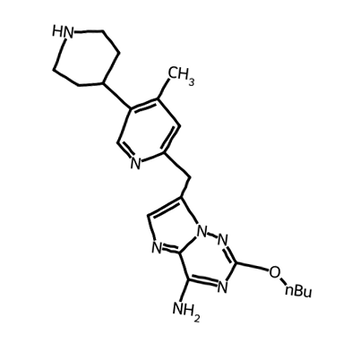 CCCCOc1nc(N)c2ncc(Cc3cc(C)c(C4CCNCC4)cn3)n2n1